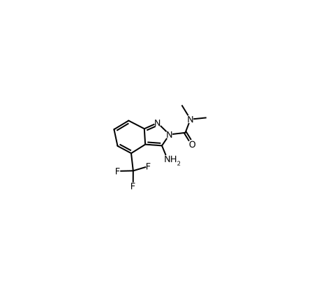 CN(C)C(=O)n1nc2cccc(C(F)(F)F)c2c1N